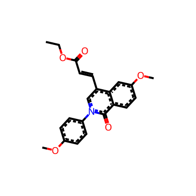 CCOC(=O)/C=C/c1cn(-c2ccc(OC)cc2)c(=O)c2ccc(OC)cc12